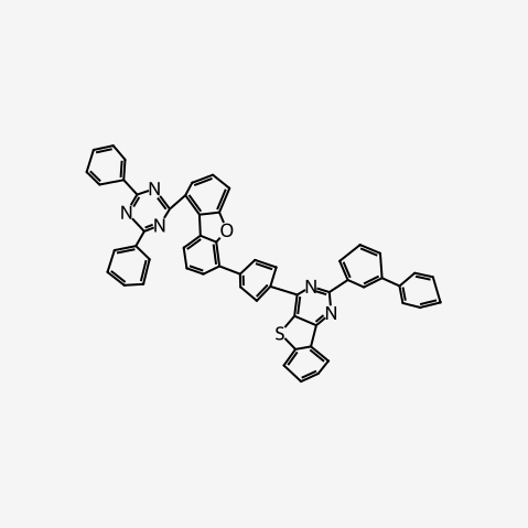 c1ccc(-c2cccc(-c3nc(-c4ccc(-c5cccc6c5oc5cccc(-c7nc(-c8ccccc8)nc(-c8ccccc8)n7)c56)cc4)c4sc5ccccc5c4n3)c2)cc1